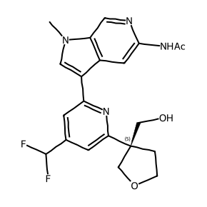 CC(=O)Nc1cc2c(-c3cc(C(F)F)cc([C@]4(CO)CCOC4)n3)cn(C)c2cn1